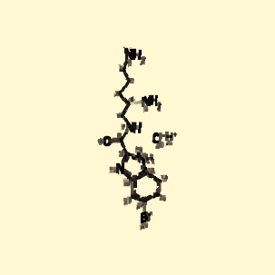 NCCC[C@H](N)CNC(=O)c1nc2cc(Br)ccc2[nH]1.[Cl-].[H+]